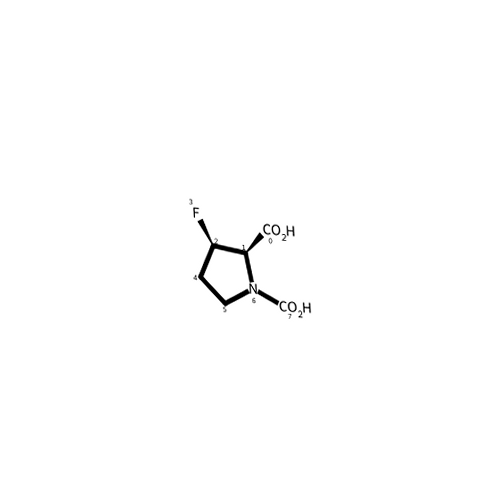 O=C(O)[C@@H]1[C@H](F)CCN1C(=O)O